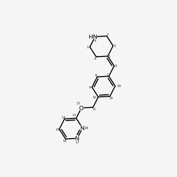 C(=C1CCNCC1)c1ccc(COc2cccnn2)cc1